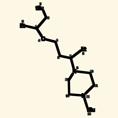 CCC(CC(C)(C)C)OCCC(CC)N1CCN(C(C)(C)C)CC1